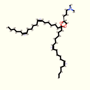 CCCC/C=C\CCCC/C=C\CCCCCC1(CCCCC/C=C\CCCC/C=C\CCCCC)OC[C@H](CCCN(C)C)O1